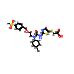 CS(=O)(=O)c1ccc(COCCN(C(=O)Nc2ncc(SCC(=O)O)s2)[C@H]2CC[C@H](C)CC2)cc1